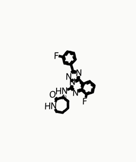 O=C1NCCCC[C@H]1Nc1nc2c(F)cccc2c2nc(-c3cccc(F)c3)nn12